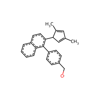 CC1=CC(c2ccc3ccccc3c2-c2ccc(C[O])cc2)C(C)=C1